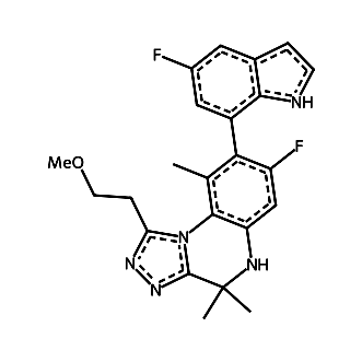 COCCc1nnc2n1-c1c(cc(F)c(-c3cc(F)cc4cc[nH]c34)c1C)NC2(C)C